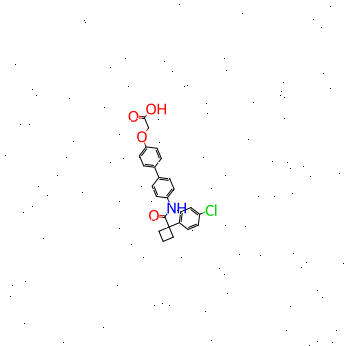 O=C(O)COc1ccc(-c2ccc(NC(=O)C3(c4ccc(Cl)cc4)CCC3)cc2)cc1